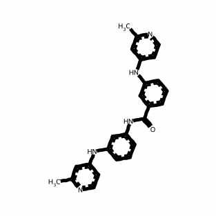 Cc1cc(Nc2cccc(NC(=O)c3cccc(Nc4ccnc(C)c4)c3)c2)ccn1